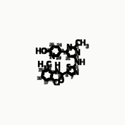 Cc1nc(Nc2ncc(C(=O)Nc3c(C)cccc3Cl)s2)cc(-c2ccc(O)nc2)n1